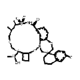 CC1CCC[C@H]([C@H](C)O)C2CCC2CN2C[C@@]3(CCCc4cc(Cl)ccc43)COc3ccc(cc32)C(=O)NS(=O)(=O)C1C